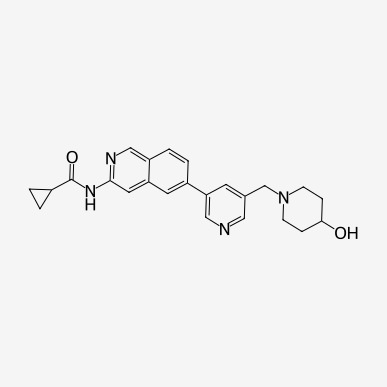 O=C(Nc1cc2cc(-c3cncc(CN4CCC(O)CC4)c3)ccc2cn1)C1CC1